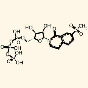 CS(=O)(=O)c1ccc2ccn([C@@H]3O[C@H](COP(=O)(O)OP(=O)(O)OP(=O)(O)O)[C@@H](O)[C@H]3O)c(=O)c2c1